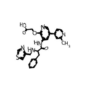 Cc1cc(-c2cnc(OCC(=O)O)c(NC(=O)C(Cc3ccccc3)NCc3cscn3)c2)ccn1